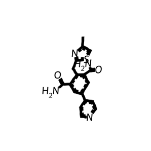 Cc1csc(Cc2c(C(N)=O)cc(-c3ccncc3)cc2C(N)=O)n1